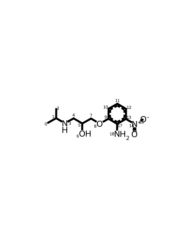 CC(C)NCC(O)COc1cccc([N+](=O)[O-])c1N